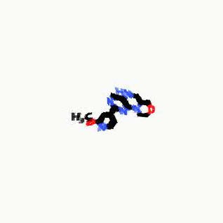 COc1cc(-c2ncc3c(n2)N2CCOCC2CN3)ccn1